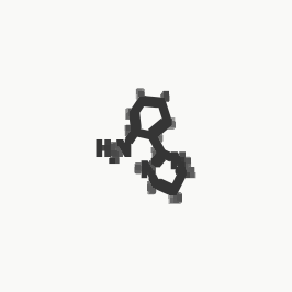 Nc1ccccc1-c1n[c]ccn1